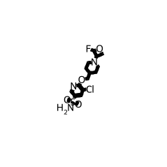 NS(=O)(=O)c1cnc(OCC2CCN(C3COC3F)CC2)c(Cl)c1